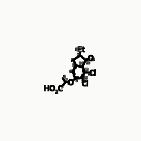 CCC1Cc2cc(OC(C)C(=O)O)c(Cl)c(Cl)c2C1=O